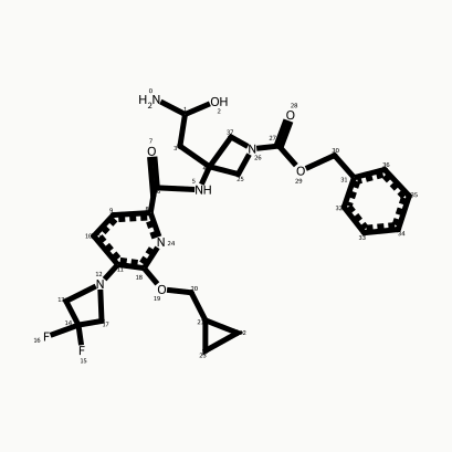 NC(O)CC1(NC(=O)c2ccc(N3CC(F)(F)C3)c(OCC3CC3)n2)CN(C(=O)OCc2ccccc2)C1